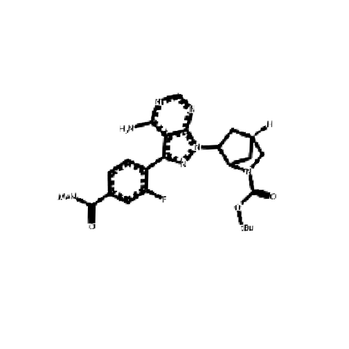 CNC(=O)c1ccc(-c2nn(C3C[C@H]4CC3N(C(=O)OC(C)(C)C)C4)c3ncnc(N)c23)c(F)c1